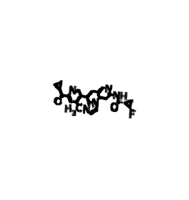 Cc1cc(C(=O)C2CC2)ncc1-c1cc2cnc(NC(=O)[C@@H]3C[C@@H]3F)cc2n2ccnc12